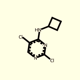 Clc1ncc(Cl)c(NC2CCC2)n1